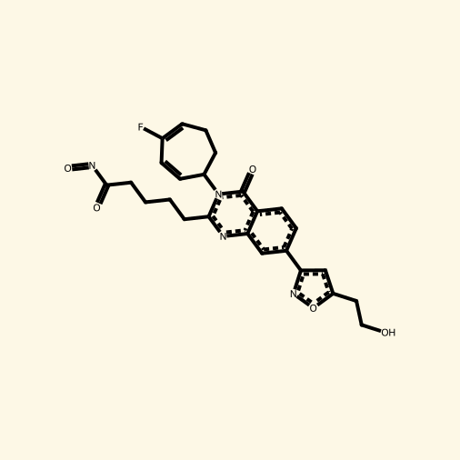 O=NC(=O)CCCCc1nc2cc(-c3cc(CCO)on3)ccc2c(=O)n1C1C=CC(F)=CCC1